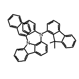 CC1(C)c2ccccc2-c2cccc(N(c3ccccc3)c3cccc4c5ccccc5n(-c5ccc6ccccc6c5)c34)c21